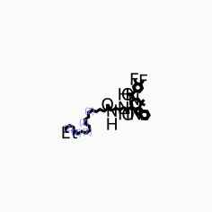 CC/C=C\C/C=C\C/C=C\C/C=C\C/C=C\CCCC(=O)NCCNC(=O)C1=CN(C(=O)c2ccc(F)c(F)c2)CC(C)(C)c2c1[nH]c1ccccc21